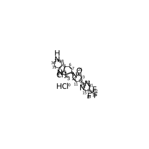 Cl.Cn1c2c(c3ccc(-n4ccc(-c5ncc(C(F)(F)F)cn5)cc4=O)cc31)CNCC2